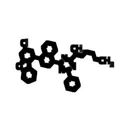 C=C/C=C\C=C(/C)c1nc(-c2ccccc2)nc(-c2ccc(-c3cc(Cl)cc4oc5ccccc5c34)c3ccccc23)n1